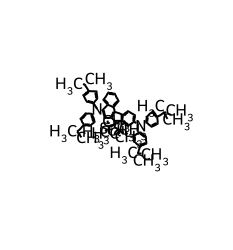 CC(C)c1ccc(N(c2ccc(C(C)C)cc2)c2cc3c(c4ccccc24)-c2ccc(N(c4ccc(C(C)(C)C)cc4)c4ccc(C(C)(C)C)cc4)cc2C3([Si](C)(C)C)[Si](C)(C)C)cc1